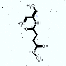 C=C/C(=C\C)NC(=O)CCC(=O)OC